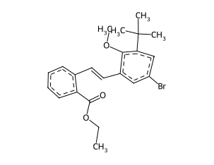 CCOC(=O)c1ccccc1C=Cc1cc(Br)cc(C(C)(C)C)c1OC